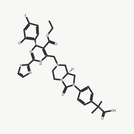 CCOC(=O)C1=C(CN2CCN3C(=O)N(c4ccc(C(C)(C)C(=O)O)cc4)C[C@@H]3C2)NC(c2nccs2)=N[C@H]1c1ccc(F)cc1Cl